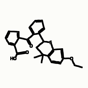 CCOc1ccc2c(c1)SC(c1ccccc1C(=O)c1ccccc1C(=O)O)CC2(C)C